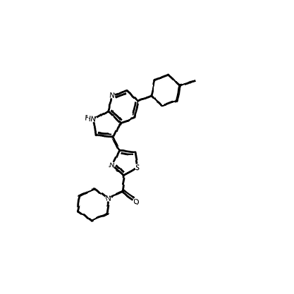 CC1CCC(c2cnc3[nH]cc(-c4csc(C(=O)N5CCCCC5)n4)c3c2)CC1